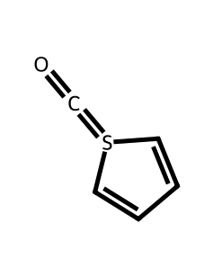 O=C=S1C=CC=C1